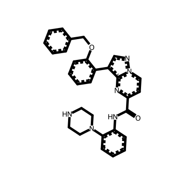 O=C(Nc1ccccc1N1CCNCC1)c1ccn2ncc(-c3ccccc3OCc3ccccc3)c2n1